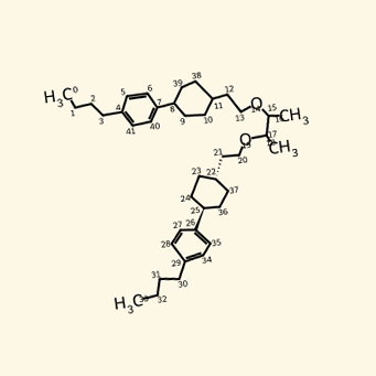 CCCCc1ccc(C2CCC(CCOC(C)C(C)OCC[C@H]3CC[C@H](c4ccc(CCCC)cc4)CC3)CC2)cc1